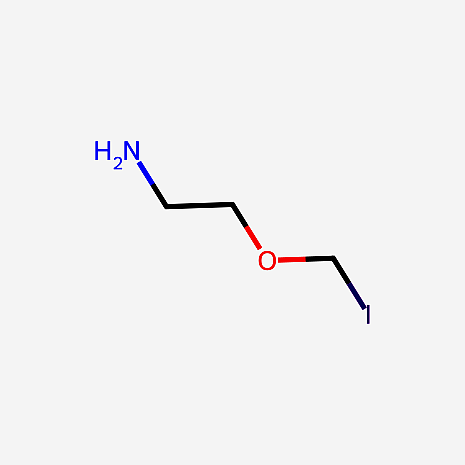 NCCOCI